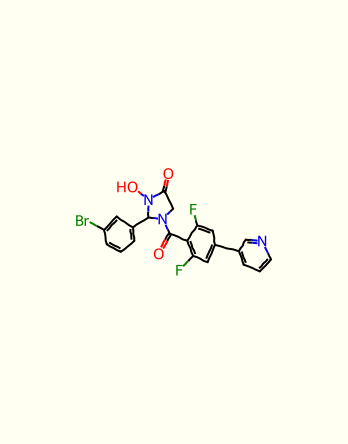 O=C1CN(C(=O)c2c(F)cc(-c3cccnc3)cc2F)C(c2cccc(Br)c2)N1O